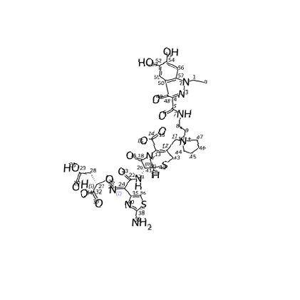 CCn1nc(C(=O)NCC[N+]2(CC3=C(C(=O)[O-])N4C(=O)[C@@H](NC(=O)/C(=N\O[C@@H](CC(=O)O)C(=O)O)c5csc(N)n5)[C@H]4SC3)CCCC2)c(=O)c2cc(O)c(O)cc21